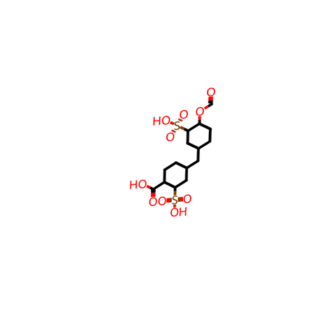 O=COC1CCC(CC2CCC(C(=O)O)C(S(=O)(=O)O)C2)CC1S(=O)(=O)O